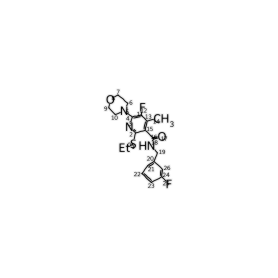 CCSc1nc(N2CCOCC2)c(F)c(C)c1C(=O)NCc1cccc(F)c1